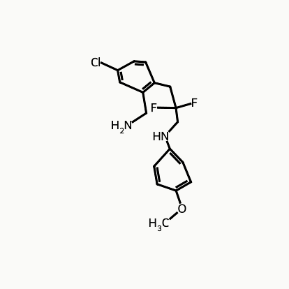 COc1ccc(NCC(F)(F)Cc2ccc(Cl)cc2CN)cc1